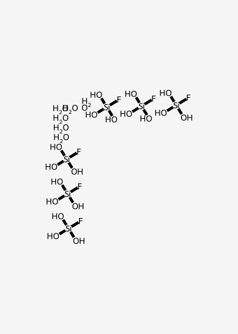 O.O.O.O.O.O.O[Si](O)(O)F.O[Si](O)(O)F.O[Si](O)(O)F.O[Si](O)(O)F.O[Si](O)(O)F.O[Si](O)(O)F